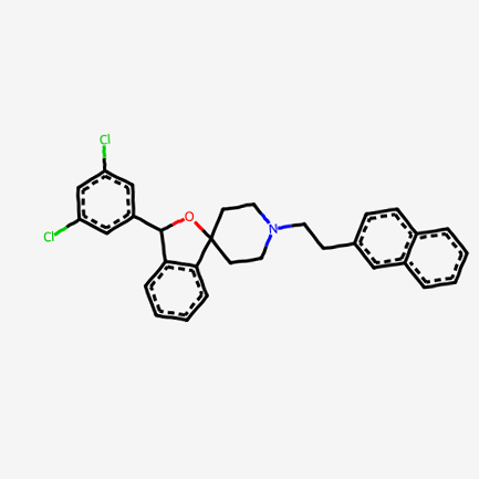 Clc1cc(Cl)cc(C2OC3(CCN(CCc4ccc5ccccc5c4)CC3)c3ccccc32)c1